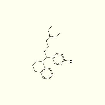 CCN(CC)CCCC(c1ccc(Cl)cc1)C1CCCc2ccccc21